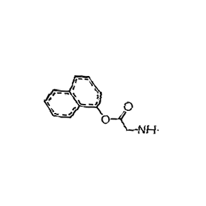 [NH]CC(=O)Oc1cccc2ccccc12